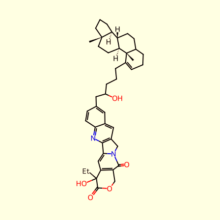 CCC1(O)C(=O)OCc2c1cc1n(c2=O)Cc2cc3cc(CC(O)CCCC4=CCCC5CC[C@H]6[C@@H]7CCC[C@@]7(C)CC[C@@H]6[C@@]45C)ccc3nc2-1